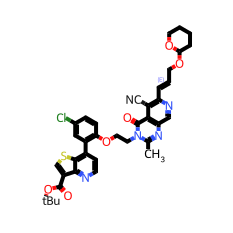 Cc1nc2cnc(/C=C/COC3CCCCO3)c(C#N)c2c(=O)n1CCOc1ccc(Cl)cc1-c1ccnc2c(C(=O)OC(C)(C)C)csc12